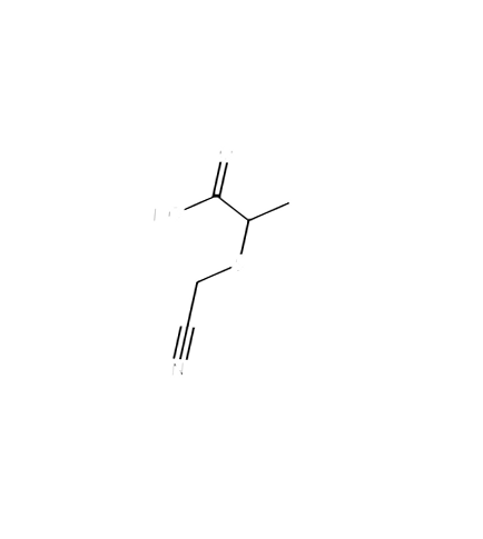 CC(SCC#N)C(=O)O